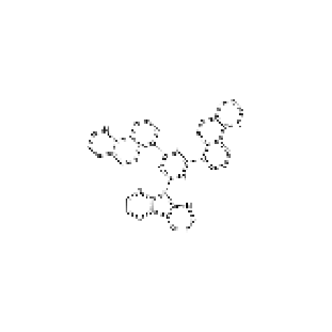 c1cnc2c(c1)ccc1c(-c3nc(-c4cccc5c4ccc4cccnc45)nc(-n4c5ncccc5c5cccnc54)n3)cccc12